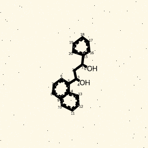 OC(CC(O)c1cccc2ccccc12)c1ccccc1